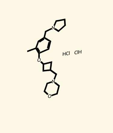 Cc1cc(CN2CCCC2)ccc1OC1CC(CN2CCOCC2)C1.Cl.Cl